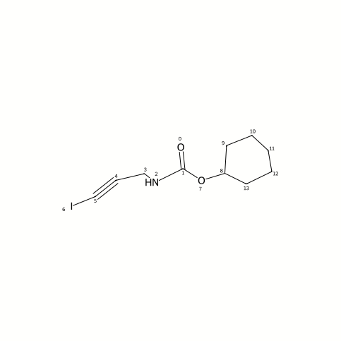 O=C(NCC#CI)OC1CCCCC1